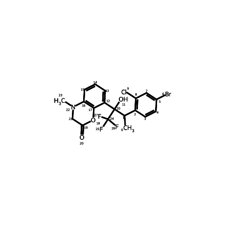 CC(c1ccc(Br)cc1Cl)C(O)(c1cccc2c1OC(=O)CN2C)C(F)(F)F